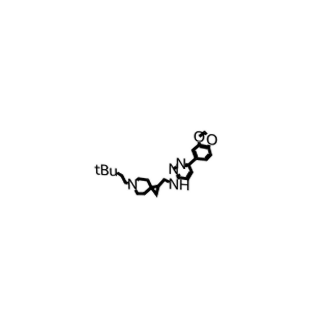 CC(C)(C)CCN1CCC2(CC1)CC2CNc1ccc(-c2ccc3c(c2)OCO3)nn1